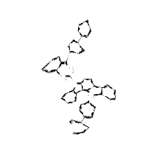 c1ccc(-c2ccc(-c3nc(-n4c5ccccc5c5c4ccc4c6ccccc6n(-c6ccc(-c7ccccc7)cc6)c45)nc4ccccc34)cc2)cc1